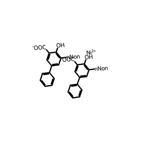 CCCCCCCCCc1cc(-c2ccccc2)cc(C(=O)[O-])c1O.CCCCCCCCCc1cc(-c2ccccc2)cc(C(=O)[O-])c1O.[Ni+2]